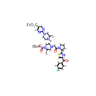 CCOC(=O)c1cnc(N2CCN(C[C@H]3CN(C(=O)OC(C)(C)C)[C@H](C)CN3CC(=O)N3CCC[C@H]3c3nc(C(=O)c4ccc(F)cc4)cs3)[C@H](C)C2)nc1